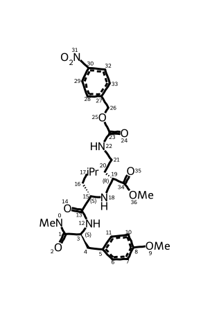 CNC(=O)[C@H](Cc1ccc(OC)cc1)NC(=O)[C@H](CC(C)C)N[C@H](CCNC(=O)OCc1ccc([N+](=O)[O-])cc1)C(=O)OC